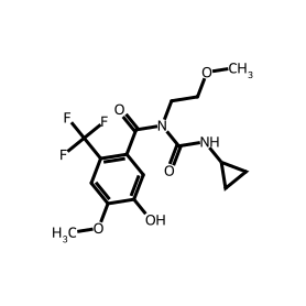 COCCN(C(=O)NC1CC1)C(=O)c1cc(O)c(OC)cc1C(F)(F)F